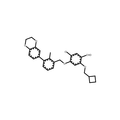 Cc1c(COc2cc(OCC3CCC3)c(C=O)cc2Cl)cccc1-c1ccc2c(c1)OCCO2